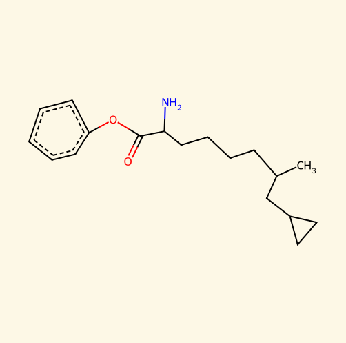 CC(CCCCC(N)C(=O)Oc1ccccc1)CC1CC1